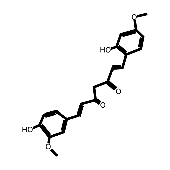 COc1ccc(C=CC(=O)CC(=O)C=Cc2ccc(O)c(OC)c2)c(O)c1